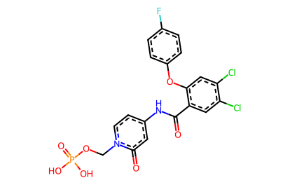 O=C(Nc1ccn(COP(=O)(O)O)c(=O)c1)c1cc(Cl)c(Cl)cc1Oc1ccc(F)cc1